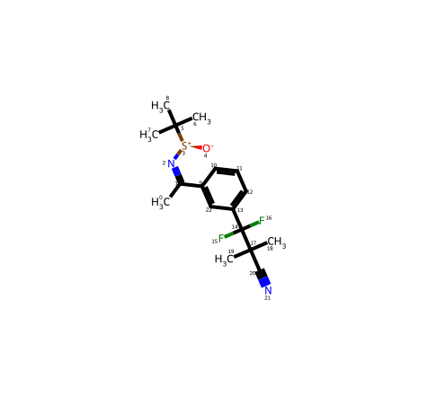 C/C(=N/[S@+]([O-])C(C)(C)C)c1cccc(C(F)(F)C(C)(C)C#N)c1